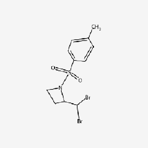 Cc1ccc(S(=O)(=O)N2CCC2C(Br)Br)cc1